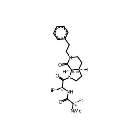 CC[C@H](NC)C(=O)N[C@H](C(=O)N1CC[C@@H]2CCN(CCc3ccccc3)C(=O)[C@@H]21)C(C)C